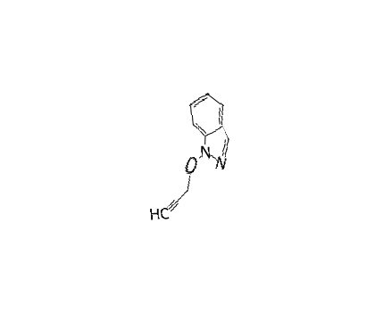 C#CCOn1ncc2ccccc21